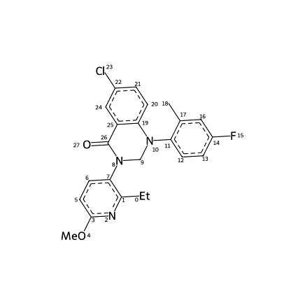 CCc1nc(OC)ccc1N1CN(c2ccc(F)cc2C)c2ccc(Cl)cc2C1=O